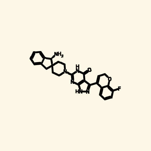 N[C@@H]1c2ccccc2CC12CCN(c1nc3[nH]nc(C4=CCOc5c(F)cccc54)c3c(=O)[nH]1)CC2